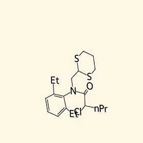 CCCC(Cl)C(=O)N(CC1SCCCS1)c1c(CC)cccc1CC